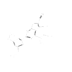 CCN(C)c1nc(-c2cc(OC)cc(OC)c2)nc2sc(C#N)c(C)c12